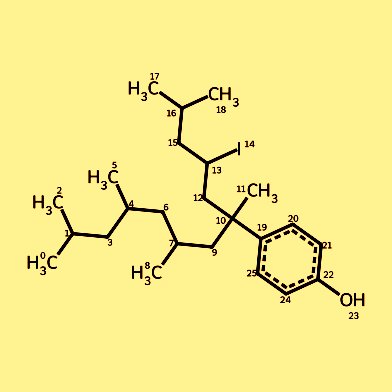 CC(C)CC(C)CC(C)CC(C)(CC(I)CC(C)C)c1ccc(O)cc1